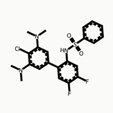 CN(C)c1cc(-c2cc(F)c(F)cc2NS(=O)(=O)c2ccccc2)cc(N(C)C)c1Cl